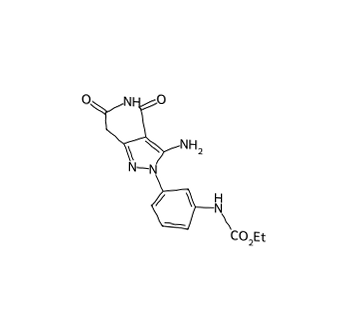 CCOC(=O)Nc1cccc(-n2nc3c(c2N)C(=O)NC(=O)C3)c1